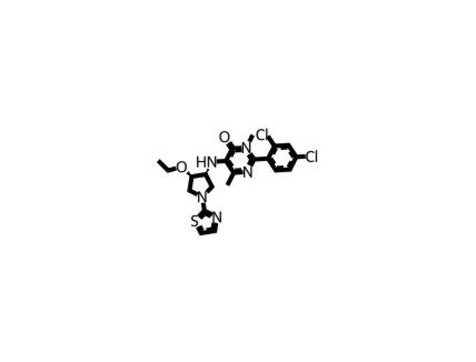 CCO[C@@H]1CN(c2nccs2)C[C@H]1Nc1c(C)nc(-c2ccc(Cl)cc2Cl)n(C)c1=O